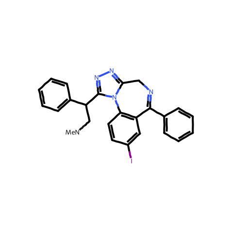 CNCC(c1ccccc1)c1nnc2n1-c1ccc(I)cc1C(c1ccccc1)=NC2